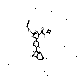 N#COCOc1nc(C(=O)NC23CC(C2)C3)cc(N2CCC(c3n[nH]c4ncccc34)C(F)C2)n1